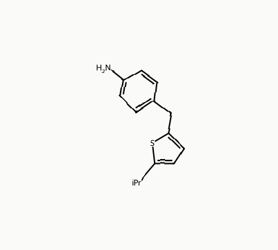 CC(C)c1ccc(Cc2ccc(N)cc2)s1